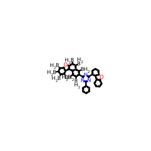 Bc1c(B)c(B)c2c(oc3c(B)c(B)c4c(B)c(-c5nc(-c6ccccc6)nc(-c6cccc7oc8ccccc8c67)n5)c(B)c(B)c4c32)c1B